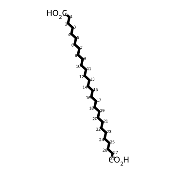 O=C(O)CCCCCCCCCCCCCCCCCCCCCCCCCCCC(=O)O